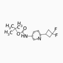 CC(C)(C)OC(=O)Nc1ccc(C2CC(F)(F)C2)nc1